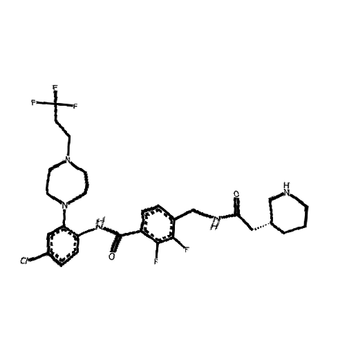 O=C(C[C@H]1CCCNC1)NCc1ccc(C(=O)Nc2ccc(Cl)cc2N2CCN(CCC(F)(F)F)CC2)c(F)c1F